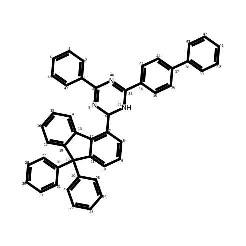 c1ccc(C2=NC(c3cccc4c3-c3ccccc3C4(c3ccccc3)c3ccccc3)NC(c3ccc(-c4ccccc4)cc3)=N2)cc1